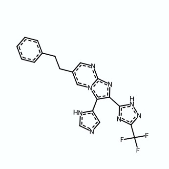 FC(F)(F)c1n[nH]c(-c2nc3ncc(CCc4ccccc4)cn3c2-c2cnc[nH]2)n1